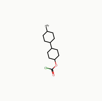 CCCC1CCC(C2CCC(OC(=O)Cl)CC2)CC1